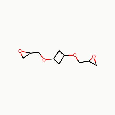 C1OC1COC1CC(OCC2CO2)C1